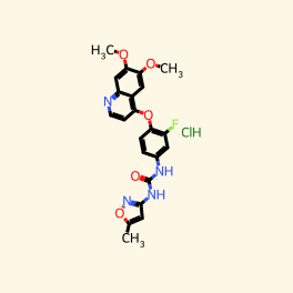 COc1cc2nccc(Oc3ccc(NC(=O)Nc4cc(C)on4)cc3F)c2cc1OC.Cl